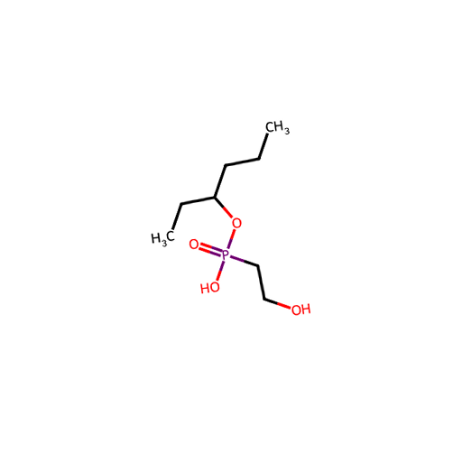 CCCC(CC)OP(=O)(O)CCO